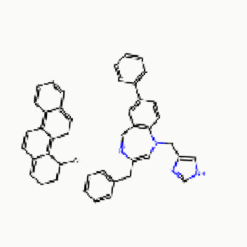 C1=NC(Cc2ccccc2)=CN(Cc2c[nH]cn2)c2ccc(-c3ccccc3)cc21.CC(=O)C1CCC=c2ccc3c(c21)CC=c1ccccc1=3